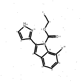 O=C(OCI)n1c(-c2cc[nH]n2)cc2cccc(F)c21